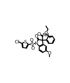 CCOc1ccccc1C1(C(N)=O)C(=O)N(S(=O)(=O)c2ccc(Cl)s2)c2ccc(OC)cc21